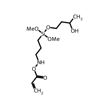 C=CC(=O)ONCCC[Si](OC)(OC)OCCC(C)O